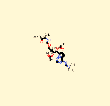 COC(=O)[C@H](C)NCOC[C@@](C#N)(OC)[C@@H](OC(=O)C(C)C)[C@@H](OC(=O)C(C)C)c1ccc2c(/N=C/N(C)C)ncnn12